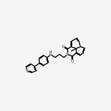 CC12C3=CC=CC1C=CC=C2C(=O)N(CCCNc1ccc(-c2ccncc2)cc1)C3=O